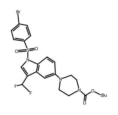 CC(C)(C)OC(=O)N1CCN(c2ccc3c(c2)c(C(F)F)cn3S(=O)(=O)c2ccc(Br)cc2)CC1